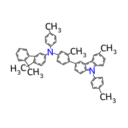 Cc1ccc(N(c2ccc(-c3ccc4c(c3)c3cc(C)ccc3n4-c3ccc(C)cc3)c(C)c2)c2ccc3c(c2)-c2ccccc2C3(C)C)cc1